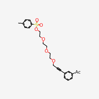 CC(=O)c1cccc(C#CCOCCOCCOCCOS(=O)(=O)c2ccc(C)cc2)c1